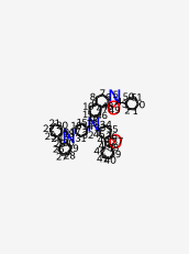 c1ccc(-c2nc3ccc4ccc(N(c5ccc(-n6c7ccccc7c7ccccc76)cc5)c5ccc6oc7ccccc7c6c5)cc4c3o2)cc1